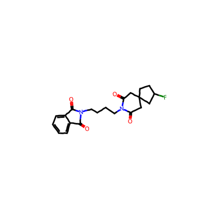 O=C1CC2(CCC(F)C2)CC(=O)N1CCCCN1C(=O)c2ccccc2C1=O